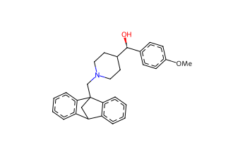 COc1ccc([C@H](O)C2CCN(CC34CC(c5ccccc53)c3ccccc34)CC2)cc1